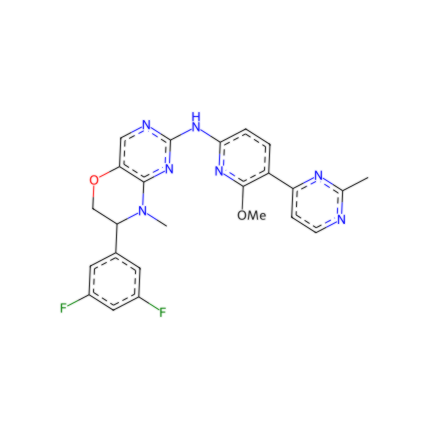 COc1nc(Nc2ncc3c(n2)N(C)C(c2cc(F)cc(F)c2)CO3)ccc1-c1ccnc(C)n1